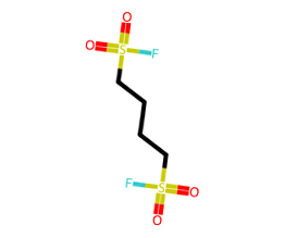 O=S(=O)(F)CCCCS(=O)(=O)F